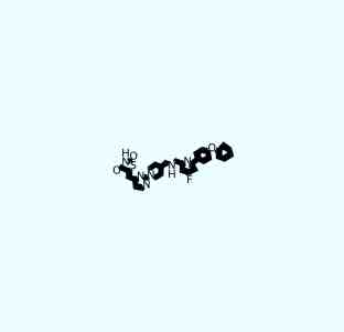 O=C1NC(=O)C(=Cc2ccnc(N3CCC(CNCc4cc(F)cc(-c5ccc(Oc6ccccc6)cc5)n4)CC3)n2)S1